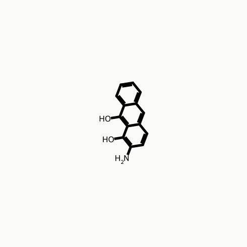 Nc1ccc2cc3ccccc3c(O)c2c1O